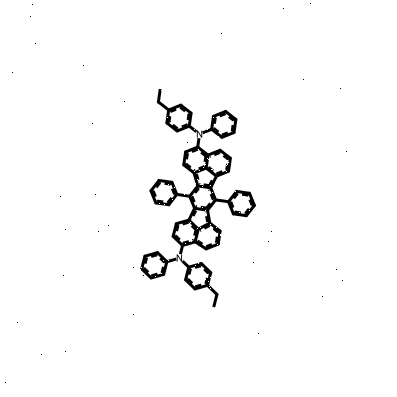 CCc1ccc(N(c2ccccc2)c2ccc3c4c(-c5ccccc5)c5c6ccc(N(c7ccccc7)c7ccc(CC)cc7)c7cccc(c5c(-c5ccccc5)c4c4cccc2c43)c76)cc1